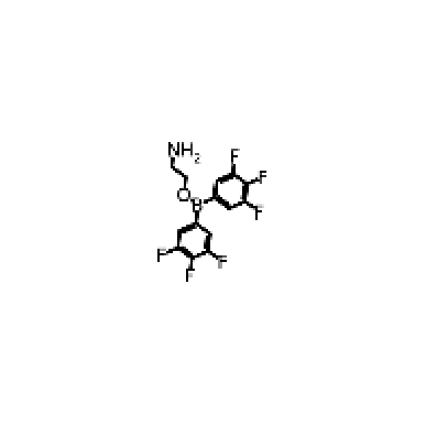 NCCOB(c1cc(F)c(F)c(F)c1)c1cc(F)c(F)c(F)c1